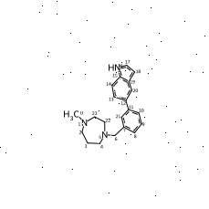 CN1CCCN(Cc2cccc(-c3ccc4[nH]ccc4c3)c2)CC1